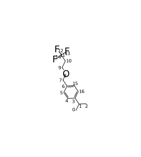 CC(C)c1ccc(COCCC(F)(F)F)cc1